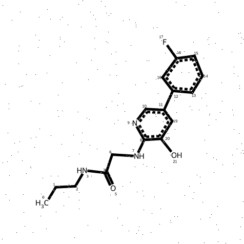 CCCNC(=O)CNc1ncc(-c2cccc(F)c2)cc1O